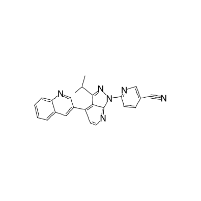 CC(C)c1nn(-c2ccc(C#N)cn2)c2nccc(-c3cnc4ccccc4c3)c12